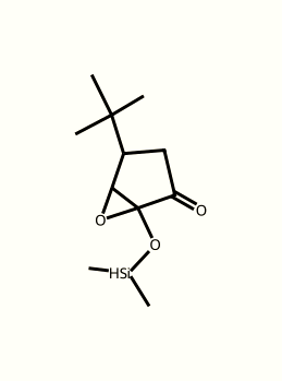 C[SiH](C)OC12OC1C(C(C)(C)C)CC2=O